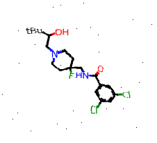 CC(C)(C)C(O)CN1CCC(F)(CNC(=O)c2cc(Cl)cc(Cl)c2)CC1